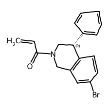 C=CC(=O)N1Cc2cc(Br)ccc2[C@@H](c2ccccc2)C1